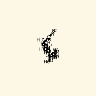 CC(CCC(=O)OCCN=[N+]=[N-])C1CC[C@H]2[C@@H]3CC[C@@H]4C[C@H](OC(=O)[C@H](CC(=O)O)Nc5ccc([N+](=O)[O-])c6nonc56)CC[C@]4(C)[C@H]3CC[C@]12C